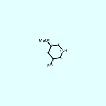 CO[C@H]1CNC[C@@H](C(C)C)C1